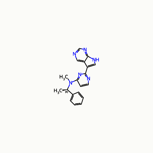 C[C@H](c1ccccc1)N(C)c1ccnc(-c2c[nH]c3ncncc23)n1